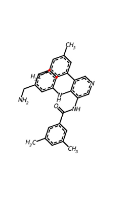 Cc1cc(C)cc(C(=O)Nc2cncc(-c3cc(C)cc(C)c3)c2Nc2cccc(CN)c2)c1